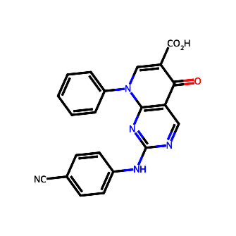 N#Cc1ccc(Nc2ncc3c(=O)c(C(=O)O)cn(-c4ccccc4)c3n2)cc1